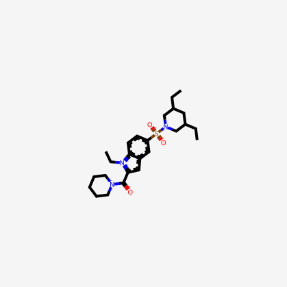 CCC1CC(CC)CN(S(=O)(=O)c2ccc3c(c2)cc(C(=O)N2CCCCC2)n3CC)C1